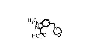 Cn1nc(C(=O)O)c2cc(CN3CCOCC3)ccc21